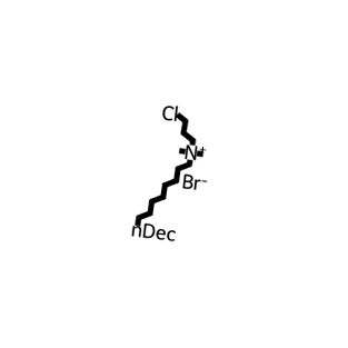 CCCCCCCCCCCCCCCCCC[N+](C)(C)CCCCl.[Br-]